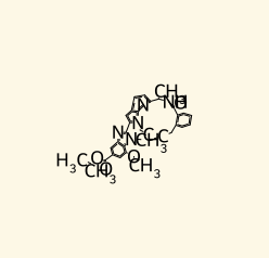 COc1cc(C(=O)OC(C)C)cc2nc(-c3cc4ccc5nc4n3CCCCCc3ccccc3C(=O)N[C@@H]5C)n(C)c12